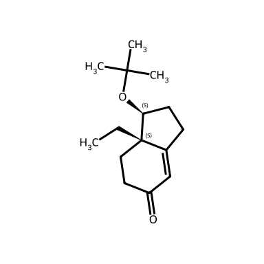 CC[C@]12CCC(=O)C=C1CC[C@@H]2OC(C)(C)C